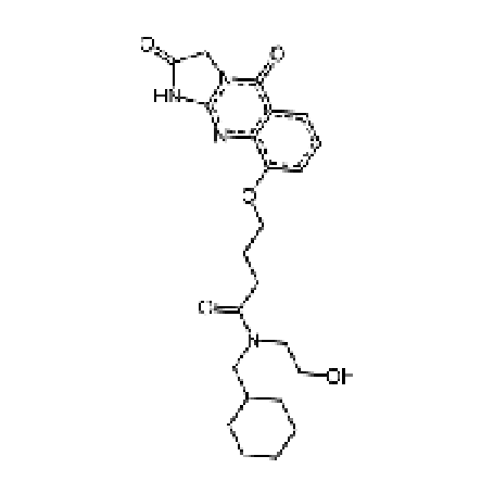 O=C1Cn2c(nc3c(OCCCC(=O)N(CCO)CC4CCCCC4)cccc3c2=O)N1